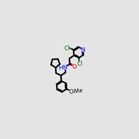 COc1cccc(C(CNC(=O)Cc2c(Cl)cncc2Cl)CC2CCCC2)c1